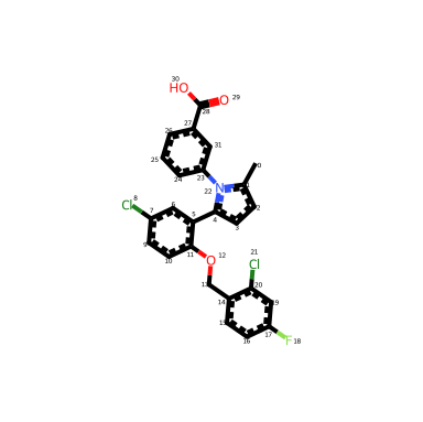 Cc1ccc(-c2cc(Cl)ccc2OCc2ccc(F)cc2Cl)n1-c1cccc(C(=O)O)c1